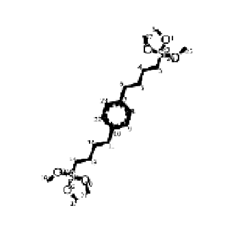 CO[Si](CCCCc1ccc(CCCC[Si](OC)(OC)OC)cc1)(OC)OC